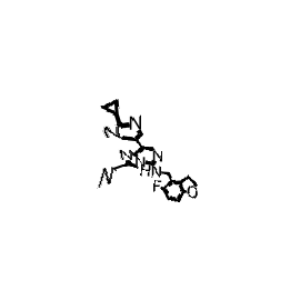 N#Cc1cn2c(NCc3c(F)ccc4c3CCO4)ncc(-c3cnc(C4CC4)nc3)c2n1